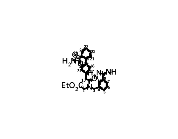 CCOC(=O)CN(Cc1cccc(C(=N)N)c1)C(=O)Cc1ccc(-c2ccccc2S(N)(=O)=O)cc1